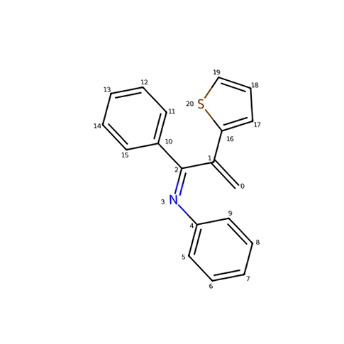 C=C(C(=Nc1ccccc1)c1ccccc1)c1cccs1